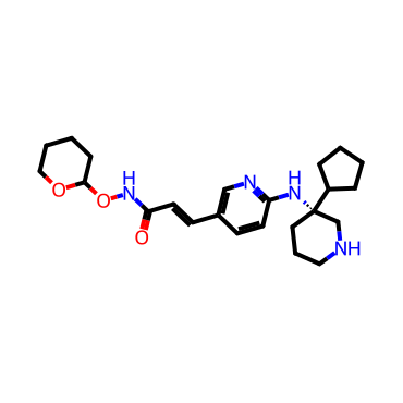 O=C(/C=C/c1ccc(N[C@@]2(C3CCCC3)CCCNC2)nc1)NOC1CCCCO1